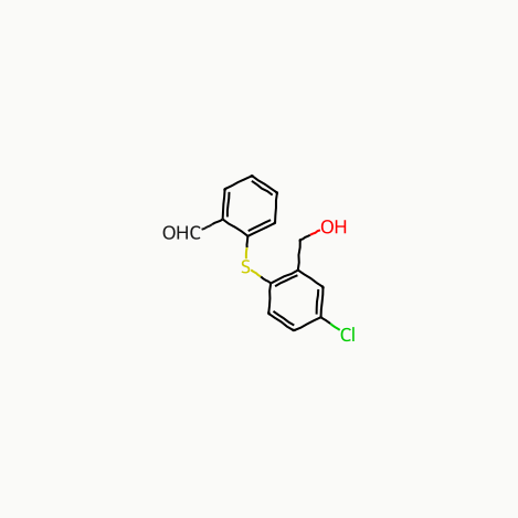 O=Cc1ccccc1Sc1ccc(Cl)cc1CO